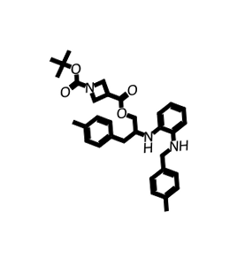 Cc1ccc(CNc2ccccc2NC(COC(=O)C2CN(C(=O)OC(C)(C)C)C2)Cc2ccc(C)cc2)cc1